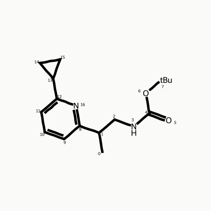 CC(CNC(=O)OC(C)(C)C)c1cccc(C2CC2)n1